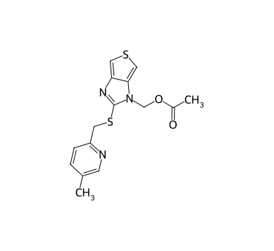 CC(=O)OCn1c(SCc2ccc(C)cn2)nc2cscc21